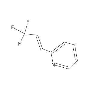 FC(F)(F)C=Cc1ccccn1